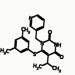 Cc1cc(C)cc(Sc2c(C(C)C)c(=O)[nH]c(=O)n2Cc2cccnc2)c1